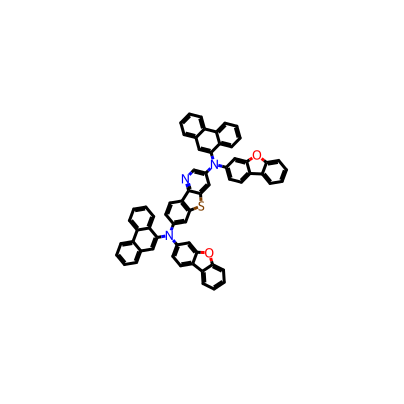 c1ccc2c(c1)cc(N(c1ccc3c(c1)oc1ccccc13)c1ccc3c(c1)sc1cc(N(c4ccc5c(c4)oc4ccccc45)c4cc5ccccc5c5ccccc45)cnc13)c1ccccc12